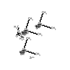 C=CCOCC(CC)(C[O-])COCC=C.CCCCCCCCO[P+]([O-])(OCCCCCCCC)OP(=O)(O)O.CCCCCCCCO[P+]([O-])(OCCCCCCCC)OP(=O)([O-])O.CCCCCCCCO[P+]([O-])(OCCCCCCCC)OP(=O)([O-])[O-].[Zr+4]